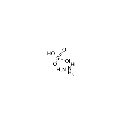 I.N.N.O=S(=O)(O)O